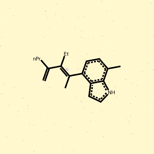 C=C(CCC)/C(CC)=C(\C)c1ccc(C)c2[nH]ccc12